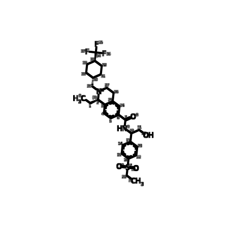 CC[C@@H]1c2ccc(C(=O)NC(CO)c3ccc(S(=O)(=O)CC)cc3)cc2CCN1C[C@H]1CC[C@H](C(F)(F)F)CC1